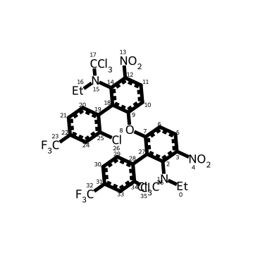 CCN(c1c([N+](=O)[O-])ccc(Oc2ccc([N+](=O)[O-])c(N(CC)C(Cl)(Cl)Cl)c2-c2ccc(C(F)(F)F)cc2Cl)c1-c1ccc(C(F)(F)F)cc1Cl)C(Cl)(Cl)Cl